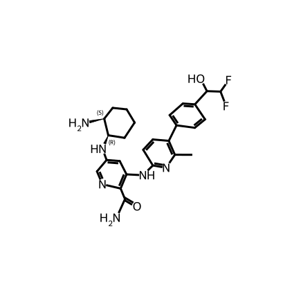 Cc1nc(Nc2cc(N[C@@H]3CCCC[C@@H]3N)cnc2C(N)=O)ccc1-c1ccc(C(O)C(F)F)cc1